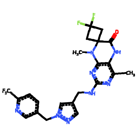 Cc1nc(NCc2cnn(Cc3ccc(C(F)(F)F)nc3)c2)nc2c1NC(=O)C1(CC(F)(F)C1)N2C